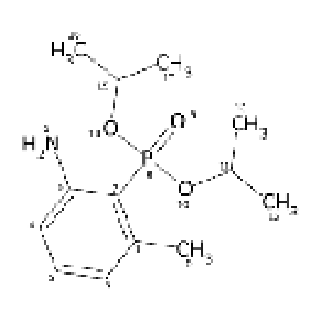 Cc1cccc(N)c1P(=O)(OC(C)C)OC(C)C